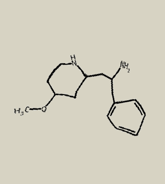 COC1CCNC(C(N)c2ccccc2)C1